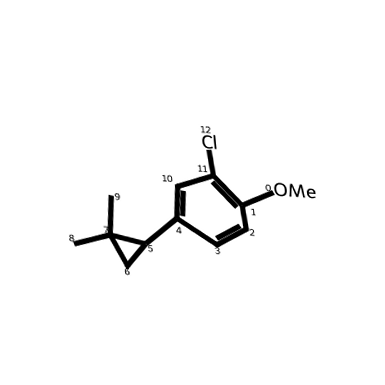 COc1ccc(C2CC2(C)C)cc1Cl